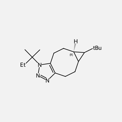 CCC(C)(C)n1nnc2c1CC[C@@H]1C(CC2)C1C(C)(C)C